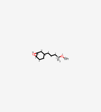 CCCO[SiH2]CCCC1CCC2OC2C1